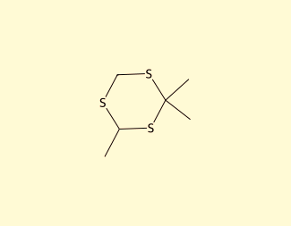 CC1SCSC(C)(C)S1